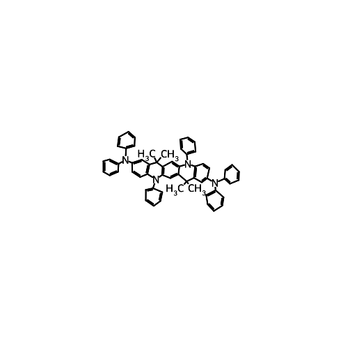 CC1(C)c2cc(N(c3ccccc3)c3ccccc3)ccc2N(c2ccccc2)c2cc3c(cc21)N(c1ccccc1)c1ccc(N(c2ccccc2)c2ccccc2)cc1C3(C)C